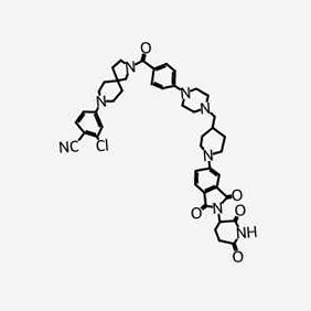 N#Cc1ccc(N2CCC3(CCN(C(=O)c4ccc(N5CCN(CC6CCN(c7ccc8c(c7)C(=O)N(C7CCC(=O)NC7=O)C8=O)CC6)CC5)cc4)C3)CC2)cc1Cl